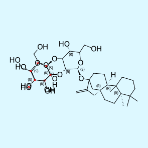 C=C1C[C@@]23CC[C@]4(C)C(C)(C)CCCC4(C)[C@@H]2CCC1(O[C@@H]1OC(CO)[C@@H](O)C(O[C@@H]2OC(CO)[C@@H](O)C(O)[C@H]2O)[C@H]1O[C@@H]1OC(CO)[C@@H](O)C(O)[C@H]1O)C3